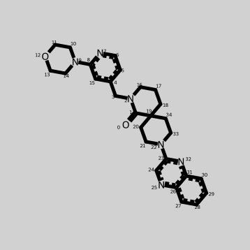 O=C1N(Cc2ccnc(N3CCOCC3)c2)CCCC12CCN(c1cnc3ccccc3n1)CC2